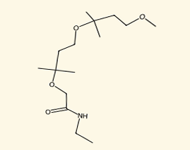 CCNC(=O)COC(C)(C)CCOC(C)(C)CCOC